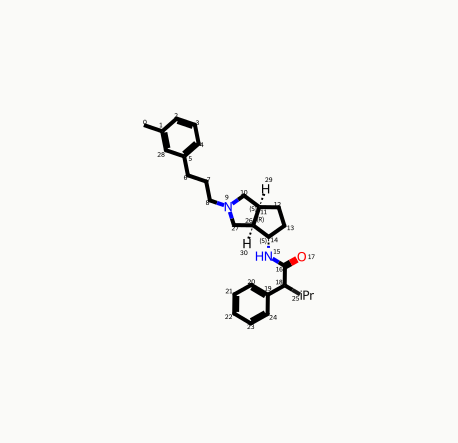 Cc1cccc(CCCN2C[C@H]3CC[C@H](NC(=O)C(c4ccccc4)C(C)C)[C@H]3C2)c1